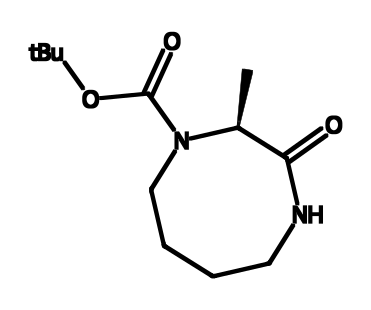 C[C@H]1C(=O)NCCCCN1C(=O)OC(C)(C)C